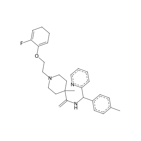 C=C(NC(c1ccc(C)cc1)c1ccccn1)C1(C)CCN(CCOC2=CCCC=C2F)CC1